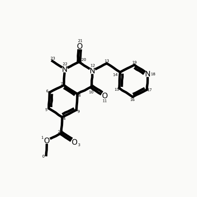 COC(=O)c1ccc2c(c1)c(=O)n(Cc1cccnc1)c(=O)n2C